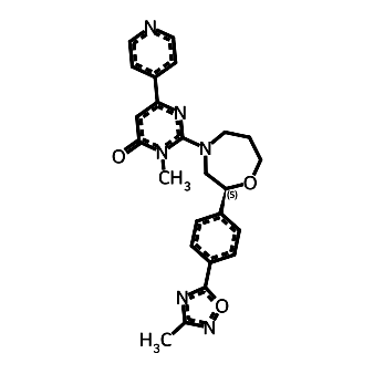 Cc1noc(-c2ccc([C@H]3CN(c4nc(-c5ccncc5)cc(=O)n4C)CCCO3)cc2)n1